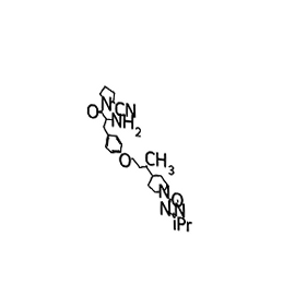 CC(C)c1noc(N2CCC(C(C)CCOc3ccc(CC(N)C(=O)N4CCCC4C#N)cc3)CC2)n1